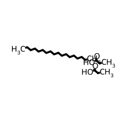 CCC(=O)O.CCC(=O)O.CCCCCCCCCCCCCCCCCC